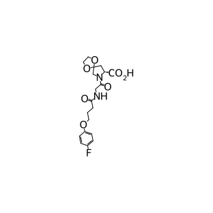 O=C(CCCOc1ccc(F)cc1)NCC(=O)N1CC2(C[C@H]1C(=O)O)OCCO2